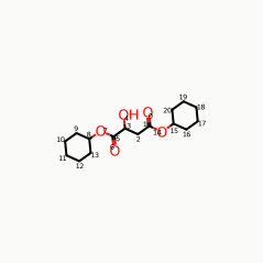 O=C(CC(O)C(=O)OC1CCCCC1)OC1CCCCC1